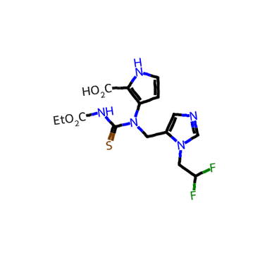 CCOC(=O)NC(=S)N(Cc1cncn1CC(F)F)c1cc[nH]c1C(=O)O